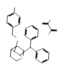 Clc1ccc(COC2C3CCN(CC3)C2C(c2ccccc2)c2ccccc2)cc1.O=C(O)C(=O)O